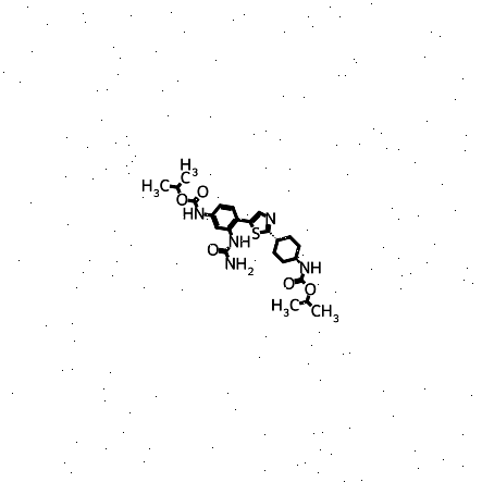 CC(C)OC(=O)Nc1ccc(-c2cnc([C@H]3CC[C@H](NC(=O)OC(C)C)CC3)s2)c(NC(N)=O)c1